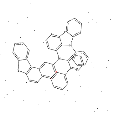 c1ccc(-c2ccccc2N(c2ccc3ccc4sc5ccccc5c4c3c2)c2cccc3c4ccccc4n(-c4ccccc4)c23)cc1